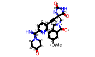 COc1ccc2c(c1)C(=O)N(C[C@@]1(C#Cc3ccc(C(=N)N4CCC(=O)CC4)nc3)NC(=O)NC1=O)C2